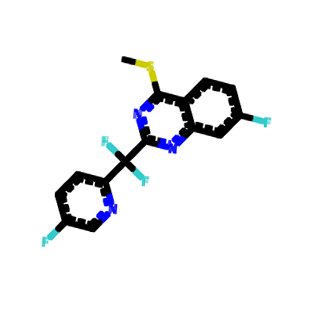 CSc1nc(C(F)(F)c2ccc(F)cn2)nc2cc(F)ccc12